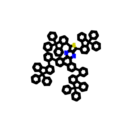 c1ccc(C2(c3ccccc3)c3ccccc3-c3c(-c4ccccc4-c4ccc5c6ccc(-c7ccccc7-c7cccc8c7-c7ccccc7C8(c7ccccc7)c7ccccc7)cc6c6nc7c(-c8cccc9c8-c8ccccc8C9(c8ccccc8)c8ccccc8)sc(-c8cccc9c8-c8ccccc8C9(c8ccccc8)c8ccccc8)c7nc6c5c4)cccc32)cc1